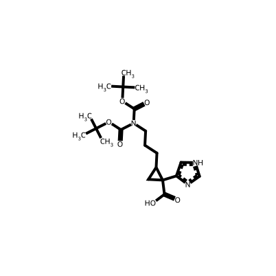 CC(C)(C)OC(=O)N(CCCC1CC1(C(=O)O)c1c[nH]cn1)C(=O)OC(C)(C)C